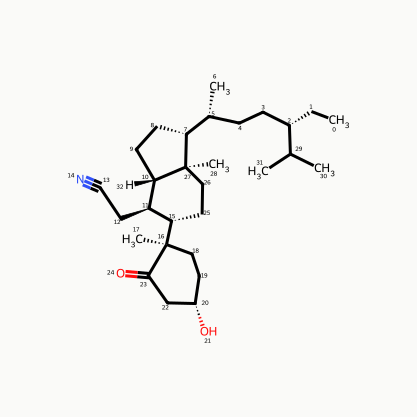 CC[C@@H](CC[C@@H](C)[C@H]1CC[C@H]2[C@H](CC#N)[C@@H]([C@@]3(C)CC[C@H](O)CC3=O)CC[C@]12C)C(C)C